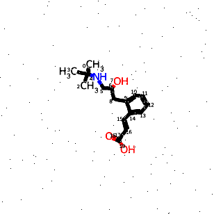 CC(C)(C)NCC(O)Cc1ccccc1C=CC(=O)O